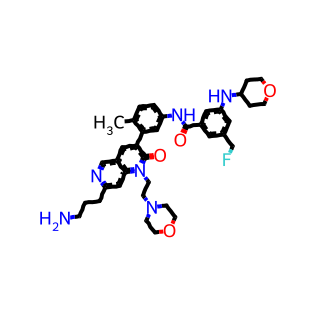 Cc1ccc(NC(=O)c2cc(CF)cc(NC3CCOCC3)c2)cc1-c1cc2cnc(CCCN)cc2n(CCN2CCOCC2)c1=O